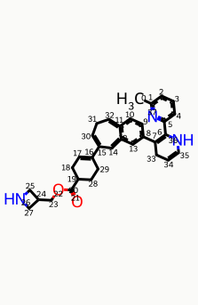 Cc1cccc(C2=C(c3ccc4c(c3)=CC(C3=CCC(C(=O)OCC5CNC5)CC3)=CCC=4)CC=CN2)n1